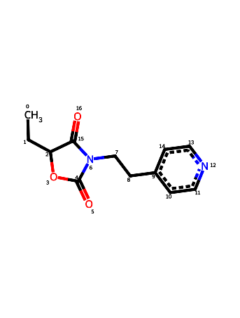 CCC1OC(=O)N(CCc2ccncc2)C1=O